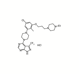 CCN1CCN(CCCOc2cc(Cl)cc(N3CCN(c4ncnc5[nH]nc(C(F)(F)F)c45)CC3)c2C)CC1.Cl